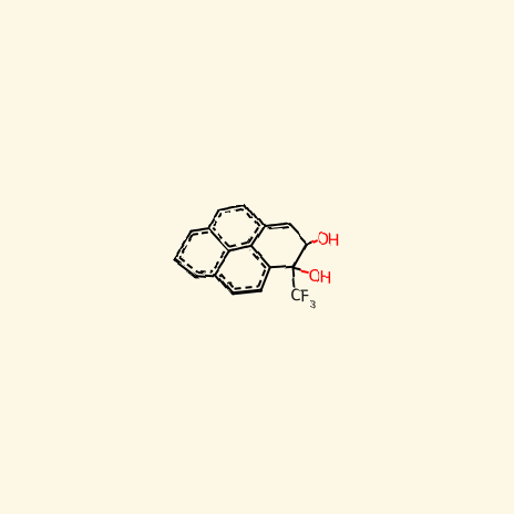 OC1C=c2ccc3cccc4ccc(c2c43)C1(O)C(F)(F)F